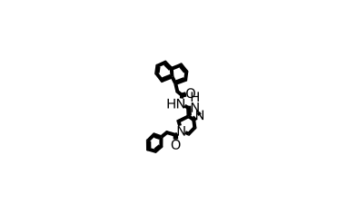 O=C(Cc1cccc2ccccc12)Nc1[nH]nc2c1CN(C(=O)Cc1ccccc1)CC2